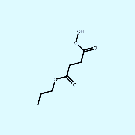 CCCOC(=O)CCC(=O)OO